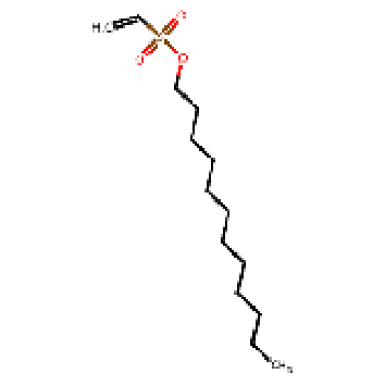 C=CS(=O)(=O)OCCCCCCCCCCCC